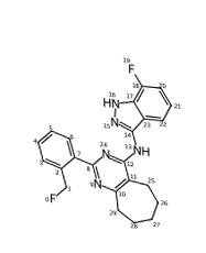 FCc1ccccc1-c1nc2c(c(Nc3n[nH]c4c(F)cccc34)n1)CCCCC2